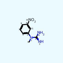 CN(C(=N)N)c1cccc([N+](=O)[O-])c1